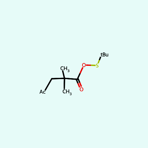 CC(=O)CC(C)(C)C(=O)OSC(C)(C)C